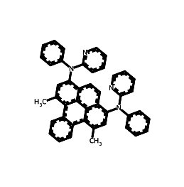 Cc1cc(N(c2ccccc2)c2ccccn2)c2ccc3c(N(c4ccccc4)c4ccccn4)cc(C)c4c5ccccc5c1c2c34